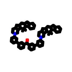 CC1(C)C2=c3ccccc3=CC2=Cc2cc3ccn(-c4cccc(-c5cccc(C(=O)c6cccc(-c7cccc(-n8ccc9cc%10c(c-9c8)C(C)(C)C8=c9ccccc9=CC8=C%10)c7)c6)c5)c4)cc-3c21